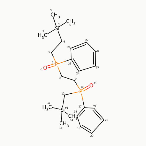 C[Si](C)(C)CCP(=O)(CCP(=O)(C[Si](C)(C)C)c1ccccc1)c1ccccc1